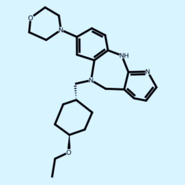 CCO[C@H]1CC[C@H](CN2Cc3cccnc3Nc3ccc(N4CCOCC4)cc32)CC1